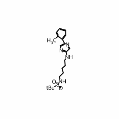 Cc1ccccc1-c1cnc(NCCCCCNS(=O)(=O)C(C)(C)C)cn1